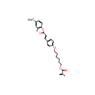 C=C(C)C(=O)OCCCCCCOc1ccc(/C=C/C(=O)Oc2ccc(OC)cc2C)cc1